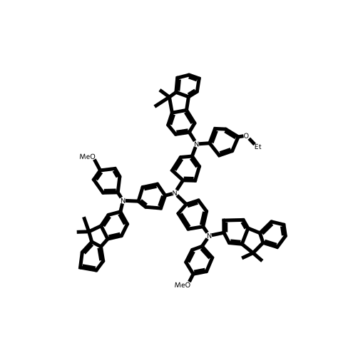 CCOc1ccc(N(c2ccc(N(c3ccc(N(c4ccc(OC)cc4)c4ccc5c(c4)C(C)(C)c4ccccc4-5)cc3)c3ccc(N(c4ccc(OC)cc4)c4ccc5c(c4)C(C)(C)c4ccccc4-5)cc3)cc2)c2ccc3c(c2)-c2ccccc2C3(C)C)cc1